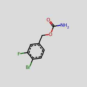 NC(=O)OCc1ccc(Br)c(F)c1